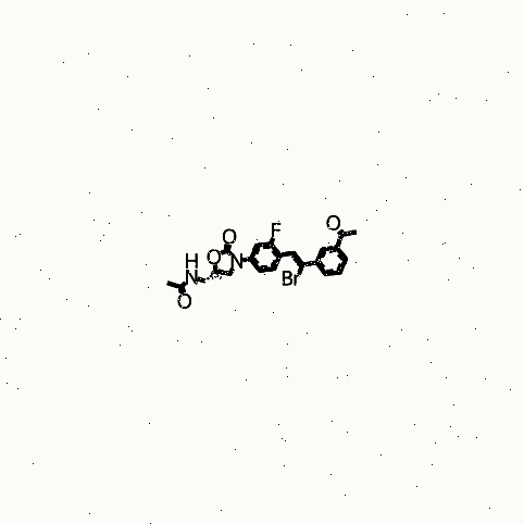 CC(=O)NC[C@H]1CN(c2ccc(C=C(Br)c3cccc(C(C)=O)c3)c(F)c2)C(=O)O1